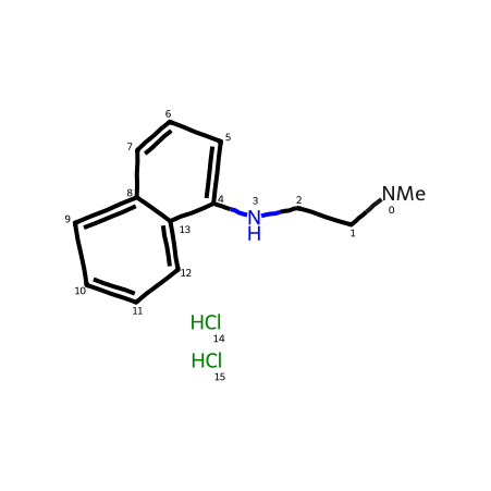 CNCCNc1cccc2ccccc12.Cl.Cl